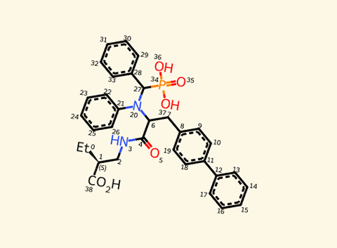 CC[C@@H](CNC(=O)C(Cc1ccc(-c2ccccc2)cc1)N(c1ccccc1)C(c1ccccc1)P(=O)(O)O)C(=O)O